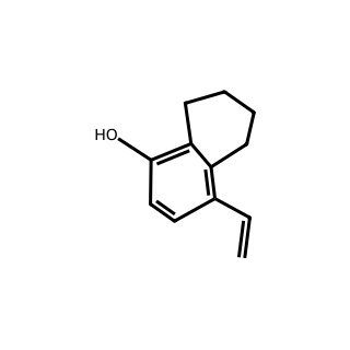 C=Cc1ccc(O)c2c1CCCC2